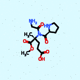 COC(=O)[C@](C)(CCC(=O)O)N(C(=O)CN)C(=O)[C@@H]1CCCN1